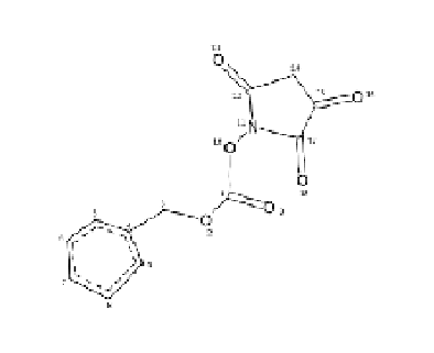 O=C(OCc1ccccc1)ON1C(=O)CC(=O)C1=O